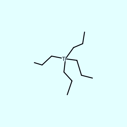 CC[CH2][Ti]([CH2]CC)([CH2]CC)[CH2]CC